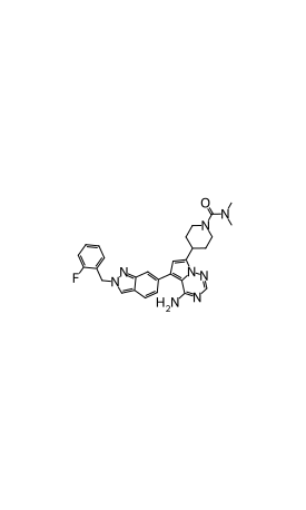 CN(C)C(=O)N1CCC(c2cc(-c3ccc4cn(Cc5ccccc5F)nc4c3)c3c(N)ncnn23)CC1